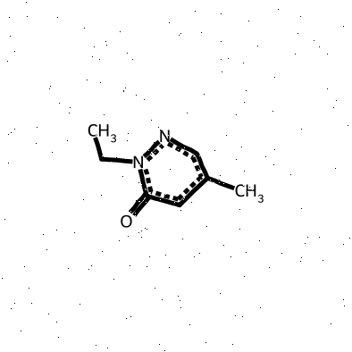 CCn1ncc(C)cc1=O